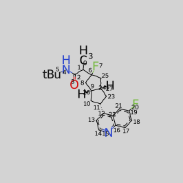 CC(C(=O)NC(C)(C)C)C1(F)C[C@H]2C[C@@H](c3ccnc4ccc(F)cc34)C[C@H]2C1